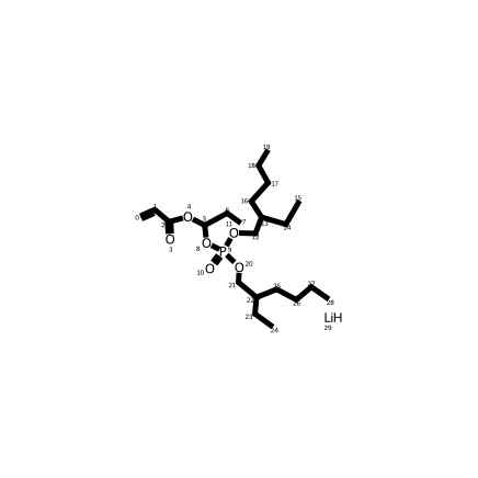 C=CC(=O)OC(CC)OP(=O)(OCC(CC)CCCC)OCC(CC)CCCC.[LiH]